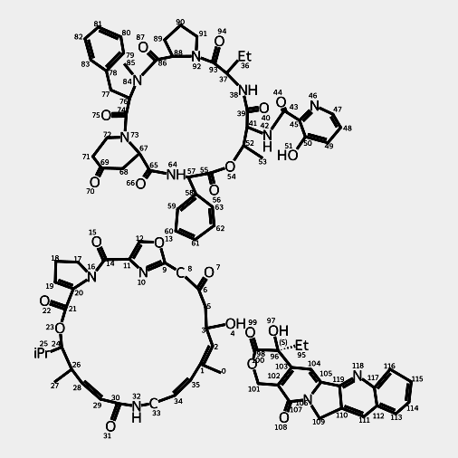 CC1=CC(O)CC(=O)Cc2nc(co2)C(=O)N2CCC=C2C(=O)OC(C(C)C)C(C)C=CC(=O)NCC=C1.CCC1NC(=O)C(NC(=O)c2ncccc2O)C(C)OC(=O)C(c2ccccc2)NC(=O)C2CC(=O)CCN2C(=O)C(Cc2ccccc2)N(C)C(=O)C2CCCN2C1=O.CC[C@@]1(O)C(=O)OCc2c1cc1n(c2=O)Cc2cc3ccccc3nc2-1